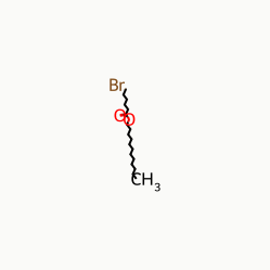 CCCCCCCCCCCCOC(=O)CCCCCBr